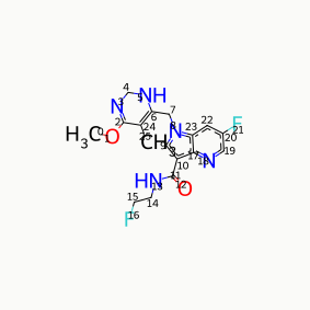 COC1=NCNC(Cn2cc(C(=O)NCCF)c3ncc(F)cc32)=C1C